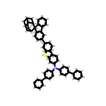 c1ccc(-c2ccc(N(c3ccc(-c4ccccc4)cc3)c3ccc4c(c3)sc3cc(-c5ccc6c(c5)-c5ccccc5C65C6CC7CC(C6)CC5C7)ccc34)cc2)cc1